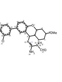 COC1CCC2C(C1)Oc1ccc(-c3cncc(Cl)c3)cc1C2/N=C(/N)N(C)C=O